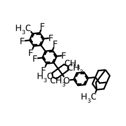 CCC(CC)(Oc1ccc(C23CC4CC(CC(C)(C4)C2)C3)cc1)C(CC)(CC)c1c(F)c(F)c(-c2c(F)c(F)c(C)c(F)c2F)c(F)c1F